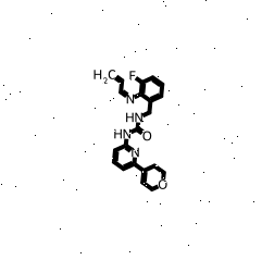 C=C/C=N\c1c(F)cccc1CNC(=O)Nc1cccc(C2=CCOCC2)n1